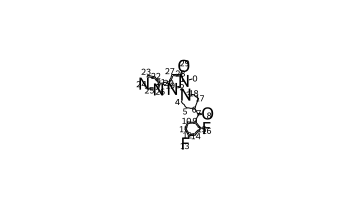 Cn1c(N2CCC(C(=O)c3ccc(F)cc3F)CC2)nc(-c2ccncn2)cc1=O